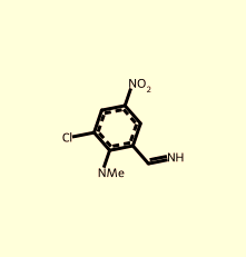 CNc1c(Cl)cc([N+](=O)[O-])cc1C=N